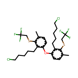 Cc1ccc(Oc2ccc(C)c(SCC(F)(F)F)c2CCCCCCl)c(CCCCCCl)c1SCC(F)(F)F